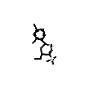 CCC1CC(c2ccc(C)cc2C)NC=C1[Si](C)(C)C